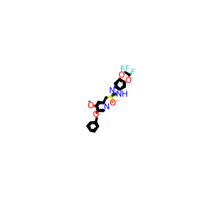 COc1cc(C[S+]([O-])c2nc3cc4c(cc3[nH]2)OC(F)C(F)(F)O4)ncc1OCc1ccccc1